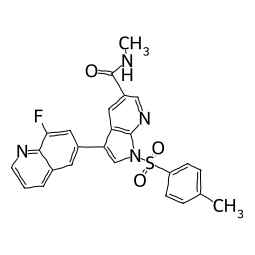 CNC(=O)c1cnc2c(c1)c(-c1cc(F)c3ncccc3c1)cn2S(=O)(=O)c1ccc(C)cc1